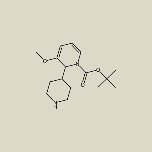 COC1=CC=CN(C(=O)OC(C)(C)C)C1C1CCNCC1